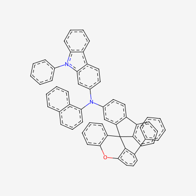 c1ccc(-c2cccc3c2C2(c4ccccc4O3)c3ccccc3-c3ccc(N(c4ccc5c6ccccc6n(-c6ccccc6)c5c4)c4cccc5ccccc45)cc32)cc1